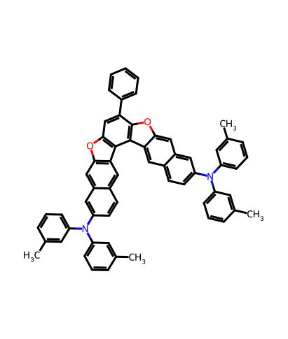 Cc1cccc(N(c2cccc(C)c2)c2ccc3cc4c(cc3c2)oc2cc(-c3ccccc3)c3oc5cc6cc(N(c7cccc(C)c7)c7cccc(C)c7)ccc6cc5c3c24)c1